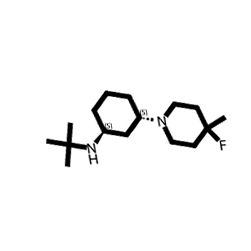 CC1(F)CCN([C@H]2CCC[C@H](NC(C)(C)C)C2)CC1